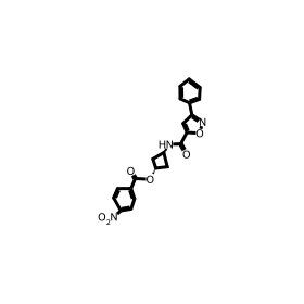 O=C(O[C@H]1C[C@H](NC(=O)c2cc(-c3ccccc3)no2)C1)c1ccc([N+](=O)[O-])cc1